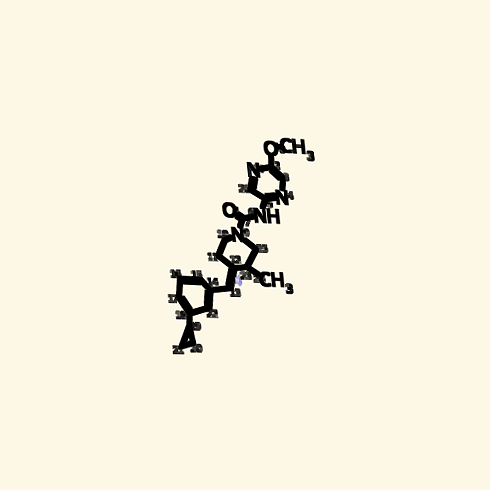 COc1cnc(NC(=O)N2CC/C(=C\c3cccc(C4CC4)c3)C(C)C2)cn1